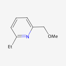 CCc1cccc(COC)n1